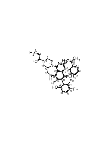 C=CC(=O)N1CCN2c3nc(=O)n(-c4c(C)ccnc4C(C)C)c4c(F)c(-c5c(O)ccc(F)c5F)c(F)c(c34)NCC2C1